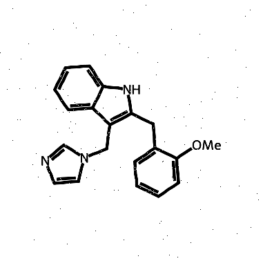 COc1ccccc1Cc1[nH]c2ccccc2c1Cn1ccnc1